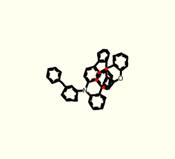 c1ccc(-c2cccc(N(c3ccc4c(c3)C3(c5ccccc5Oc5ccccc53)c3ccccc3-4)c3ccccc3-c3ccccc3)c2)cc1